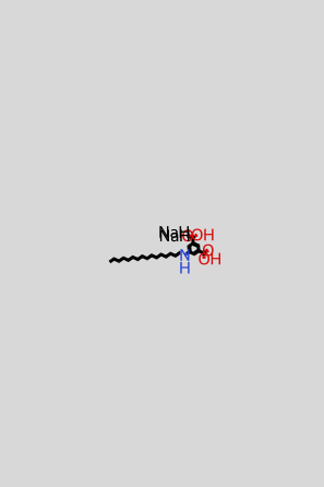 CCCCCCCCCCCCCCCCNc1cc(C(=O)O)cc(C(=O)O)c1.[NaH].[NaH]